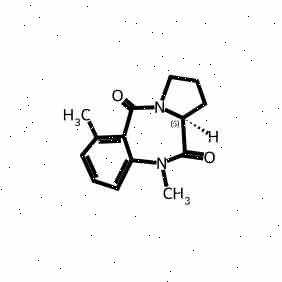 Cc1cccc2c1C(=O)N1CCC[C@H]1C(=O)N2C